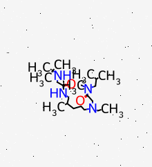 CCN(CCCC(C)CNC(=O)CNC(C)(C)C)CC(=O)N(C)CC(C)C